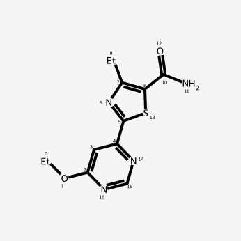 CCOc1cc(-c2nc(CC)c(C(N)=O)s2)ncn1